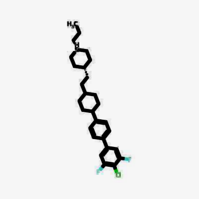 CCC[Si@H]1CC[C@H](CCC2CCC(c3ccc(-c4cc(F)c(Cl)c(F)c4)cc3)CC2)CC1